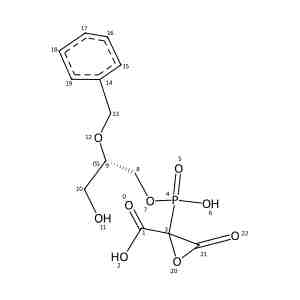 O=C(O)C1(P(=O)(O)OC[C@H](CO)OCc2ccccc2)OC1=O